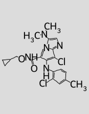 Cc1ccc(Nc2c(C(=O)NOCC3CC3)cn3c(N(C)C)cnc3c2Cl)c(Cl)c1